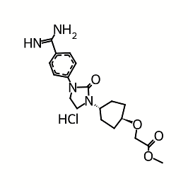 COC(=O)CO[C@H]1CC[C@H](N2CCN(c3ccc(C(=N)N)cc3)C2=O)CC1.Cl